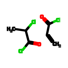 C=CC(=O)Cl.CC(Cl)C(=O)Cl